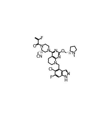 C=C(F)C(=O)N1CCN(c2nc(OC[C@@H]3CCCN3C)nc3c2CCCN3Cc2c(Cl)c(F)cc3[nH]ncc23)C[C@@H]1CC#N